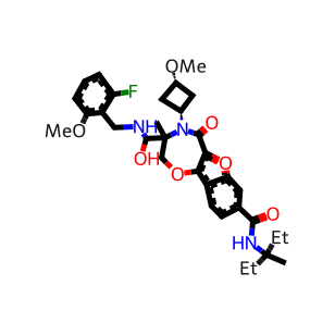 CCC(C)(CC)NC(=O)c1ccc2c3c(oc2c1)C(=O)N([C@H]1C[C@@H](OC)C1)C(C)(C(O)NCc1c(F)cccc1OC)CO3